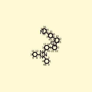 c1ccc(-c2nc(-c3ccccc3)nc(-c3cccc(-c4cccc5c4oc4c(-c6ccc(-c7cccnc7)cc6)cccc45)c3)n2)cc1